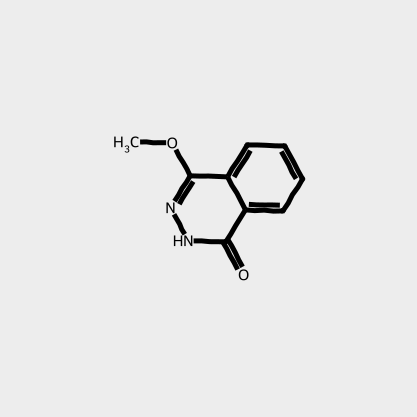 COc1n[nH]c(=O)c2ccccc12